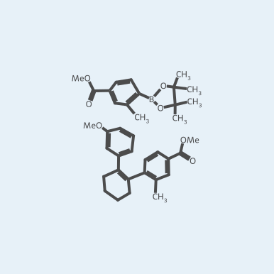 COC(=O)c1ccc(B2OC(C)(C)C(C)(C)O2)c(C)c1.COC(=O)c1ccc(C2=C(c3cccc(OC)c3)CCCC2)c(C)c1